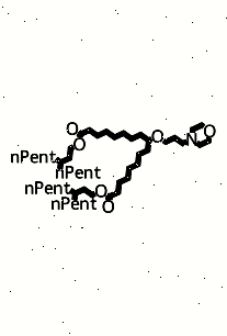 CCCCCC(CCCCC)CCOC(=O)CCCCCCCC(CCCCCCCC(=O)OCCC(CCCCC)CCCCC)OCCCN1CCOCC1